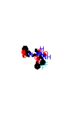 CCC(=O)N(CCCN1CCC(C(=O)OC)(c2ccccc2)CC1)C1=C(C(=O)OCc2ccccc2)C(c2ccc(F)c(F)c2)NC(=O)N1